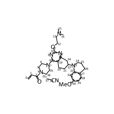 C=CC(=O)N1CCN(c2nc(OCCN(C)C)nc3c2CCC(N2CCCc4ccc(OC)cc42)C3)C[C@@H]1CC#N